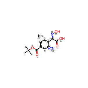 CC(C)(C)OC(=O)c1ccc(C(=NO)C(=O)O)c(N)c1.[Na]